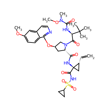 C=C[C@@H]1C[C@]1(NC(=O)[C@@H]1C[C@@H](Oc2nccc3cc(OC)ccc23)CN1C(=O)[C@@H](NC(=O)N(C)OC)C(C)(C)C)C(=O)NS(=O)(=O)C1CC1